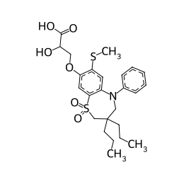 CCCC1(CCC)CN(c2ccccc2)c2cc(SC)c(OCC(O)C(=O)O)cc2S(=O)(=O)C1